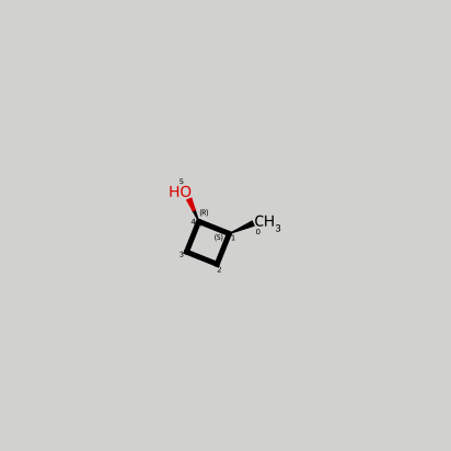 C[C@H]1CC[C@H]1O